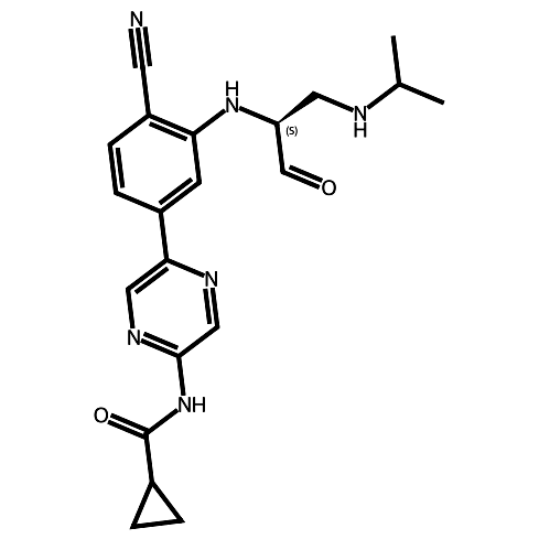 CC(C)NC[C@@H](C=O)Nc1cc(-c2cnc(NC(=O)C3CC3)cn2)ccc1C#N